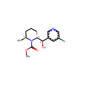 CCC[C@H]1CCC[C@H]([C@H](O)c2cncc(F)c2)N1C(=O)OC(C)(C)C